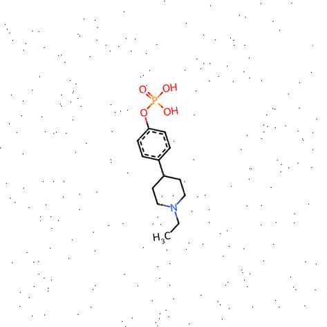 CCN1CCC(c2ccc(OP(=O)(O)O)cc2)CC1